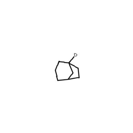 [O]C12CCCC(CC1)C2